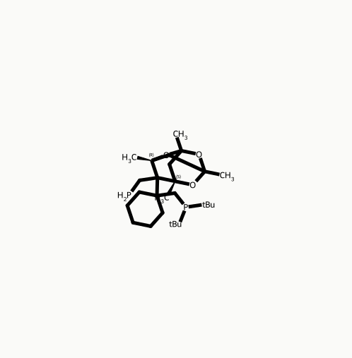 CC12C[C@]3(C)OC(C)(C[C@@](C)(O1)C3(CP)C1(CP(C(C)(C)C)C(C)(C)C)CCCCC1)O2